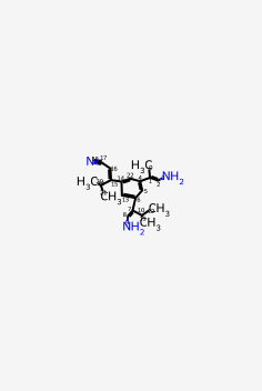 C/C(=C\N)c1cc(/C(=C/N)C(C)C)cc(/C(=C/C#N)C(C)C)c1